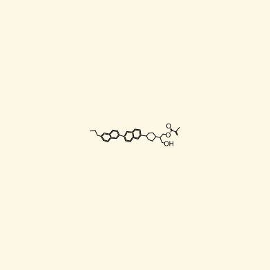 C=C(C)C(=O)OCC(CO)C1CCC(c2ccc3cc(-c4ccc5cc(CCC)ccc5c4)ccc3c2)CC1